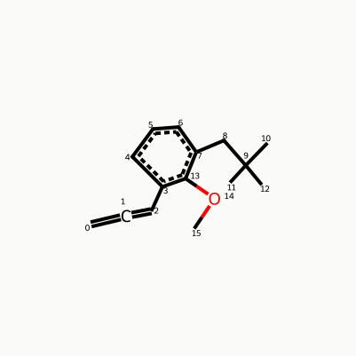 C=C=Cc1cccc(CC(C)(C)C)c1OC